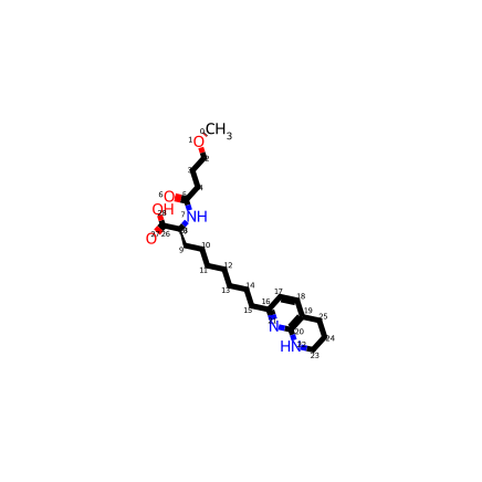 COCCCC(=O)N[C@@H](CCCCCCCc1ccc2c(n1)NCCC2)C(=O)O